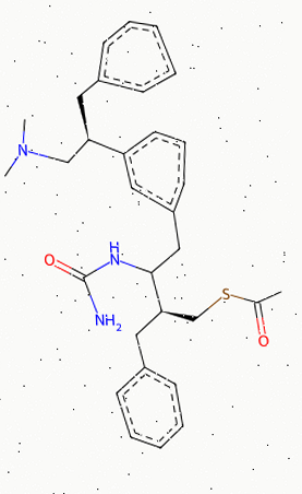 CC(=O)SC[C@@H](Cc1ccccc1)C(Cc1cccc([C@H](Cc2ccccc2)CN(C)C)c1)NC(N)=O